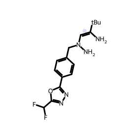 CC(C)(C)/C(N)=C/N(N)Cc1ccc(-c2nnc(C(F)F)o2)cc1